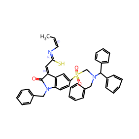 C\C=C/N=C(S)/C=C1/C(=O)N(Cc2ccccc2)c2ccc(S(=O)(=O)CN(Cc3ccccc3)C(c3ccccc3)c3ccccc3)cc21